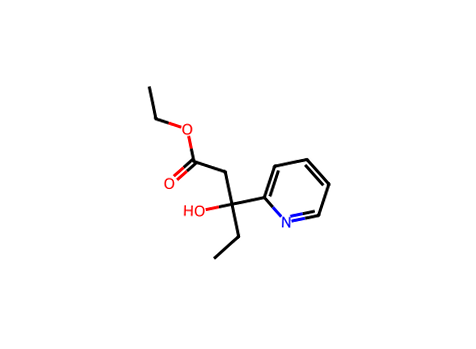 CCOC(=O)CC(O)(CC)c1ccccn1